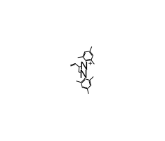 C=CC1CN(c2c(C)cc(C)cc2C)C=[N+]1c1c(C)cc(C)cc1C